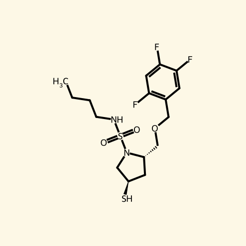 CCCCNS(=O)(=O)N1C[C@H](S)C[C@H]1COCc1cc(F)c(F)cc1F